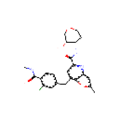 CNC(=O)c1ccc(Cc2cc(C(=O)N[C@H]3CCOC[C@@H]3O)nc3cc(C)oc23)cc1F